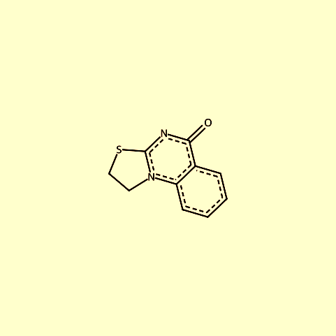 O=c1nc2n(c3ccccc13)CCS2